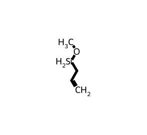 C=CC[SiH2]OC